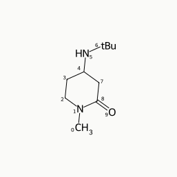 CN1CCC(NC(C)(C)C)CC1=O